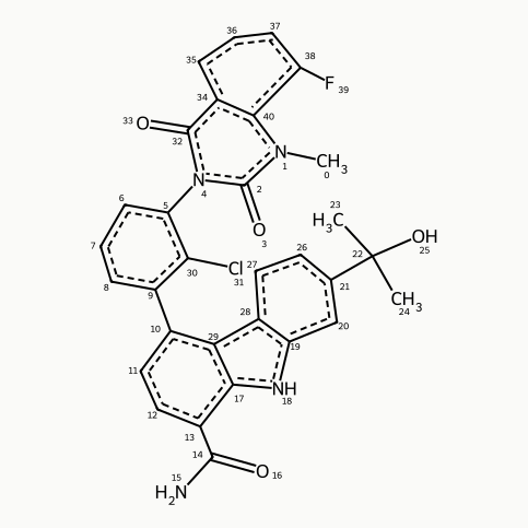 Cn1c(=O)n(-c2cccc(-c3ccc(C(N)=O)c4[nH]c5cc(C(C)(C)O)ccc5c34)c2Cl)c(=O)c2cccc(F)c21